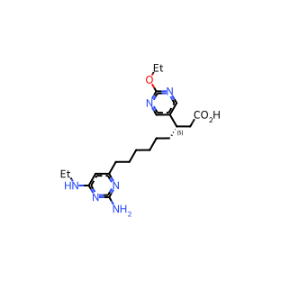 CCNc1cc(CCCCCC[C@@H](CC(=O)O)c2cnc(OCC)nc2)nc(N)n1